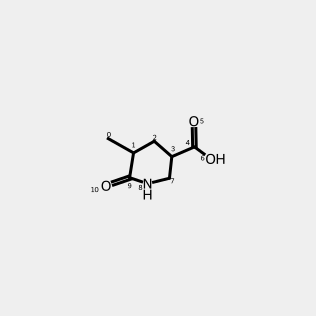 CC1CC(C(=O)O)CNC1=O